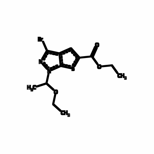 CCOC(=O)c1cc2c(Br)nn(C(C)OCC)c2s1